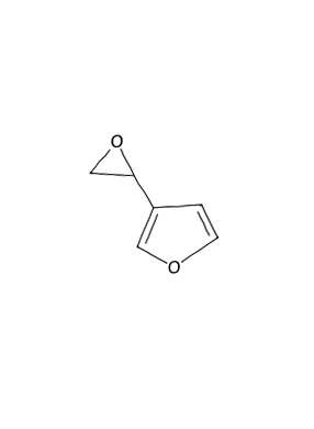 c1cc(C2CO2)co1